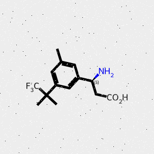 Cc1cc([C@@H](N)CC(=O)O)cc(C(C)(C)C(F)(F)F)c1